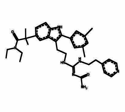 CCN(CC)C(=O)C(C)(C)c1ccc2[nH]c(-c3cc(C)cc(C)c3)c(CCN/C(=N/C(N)=O)NCCc3ccncc3)c2c1